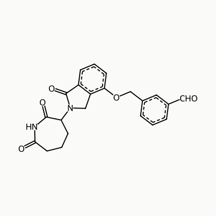 O=Cc1cccc(COc2cccc3c2CN(C2CCCC(=O)NC2=O)C3=O)c1